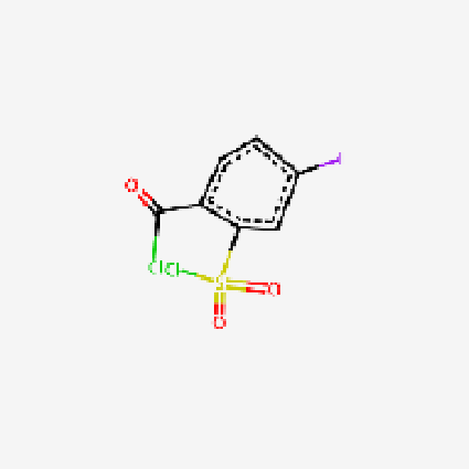 O=C(Cl)c1ccc(I)cc1S(=O)(=O)Cl